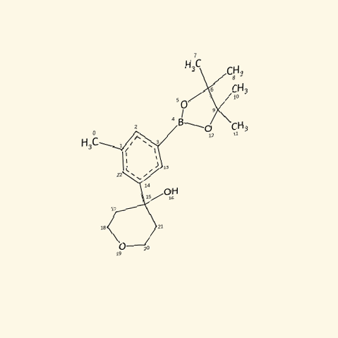 Cc1cc(B2OC(C)(C)C(C)(C)O2)cc(C2(O)CCOCC2)c1